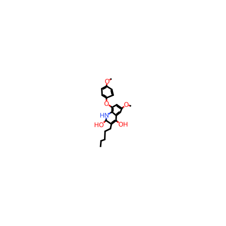 CCCCCC1=C(O)c2cc(OC)cc(Oc3ccc(OC)cc3)c2NC1O